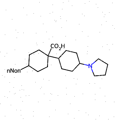 CCCCCCCCCC1CCC(C(=O)O)(C2CCC(N3CCCC3)CC2)CC1